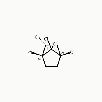 Cl[C@@H]1C[C@]2(Cl)CC[C@@]1(Cl)C2(Cl)Cl